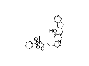 C[C@@H](O)[C@@H](CC1Cc2ccccc2C1)Cn1ccc(CCC(=O)NS(=O)(=O)c2ccccc2)c1